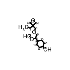 CCC1(COCC(OO)C2CCC(O)CC2)COC1